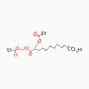 CCC(=O)OCOC(=O)C(CCCCCCCCC(=O)O)COC(=O)CC